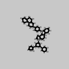 c1ccc(-c2cc(-c3ccccc3)cc(-n3ccc4c3ccc3c5ccccc5n(-c5ccc(-c6ccc7c(ccc8ccccc87)c6)cc5)c34)c2)cc1